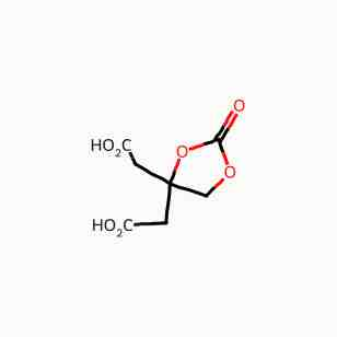 O=C(O)CC1(CC(=O)O)COC(=O)O1